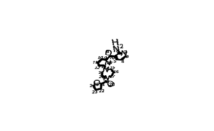 Nc1ncccc1C(=O)c1cccc(N2CCCN(C(=O)C3CCCO3)CC2)n1